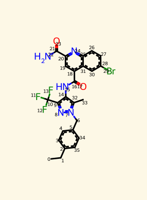 CCc1ccc(Cn2nc(C(F)(F)F)c(NC(=O)c3cc(C(N)=O)nc4ccc(Br)cc34)c2C)cc1